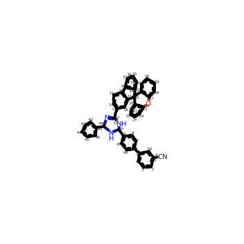 N#Cc1cccc(-c2ccc(C3NC(c4ccc5c(c4)C4(c6ccccc6Oc6ccccc64)c4ccccc4-5)=NC(c4ccccc4)N3)cc2)c1